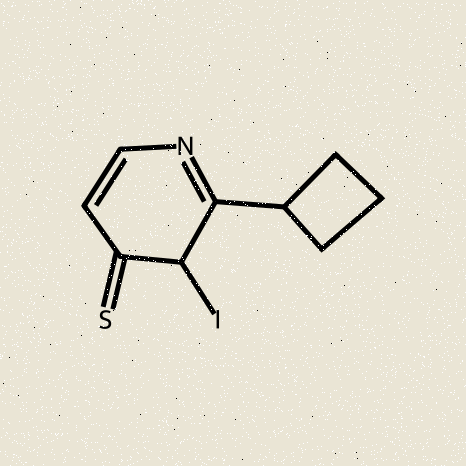 S=C1C=CN=C(C2CCC2)C1I